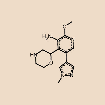 COc1ncc(-c2cnn(C)c2)c(C2CNCCO2)c1N